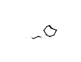 OCCO[C@@H]1CC/C=C/CCC1